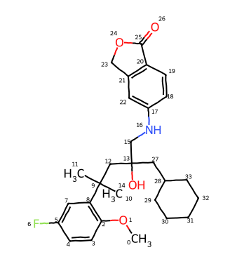 COc1ccc(F)cc1C(C)(C)CC(O)(CNc1ccc2c(c1)COC2=O)CC1CCCCC1